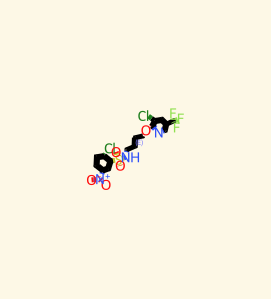 O=[N+]([O-])c1ccc(Cl)c(S(=O)(=O)NC/C=C/COc2ncc(C(F)(F)F)cc2Cl)c1